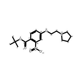 CC(C)(C)OC(=O)c1ccc(OCCN2CCCC2)cc1[N+](=O)[O-]